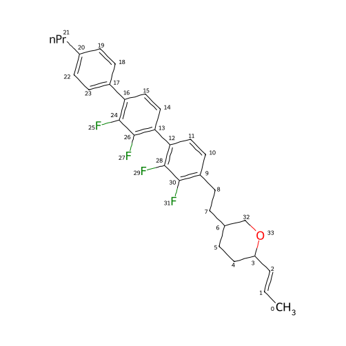 C/C=C/C1CCC(CCc2ccc(-c3ccc(-c4ccc(CCC)cc4)c(F)c3F)c(F)c2F)CO1